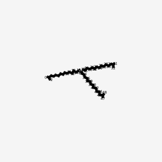 CC(C)CCCCCCCCCCCCCN(CCCCCCCCCCCCCC(C)C)CCCCCCCCCCCCCC(C)C